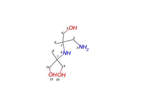 CC(CN)(CO)NC(C)(CO)CO